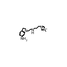 C[n+]1ccn(CCCNCCN2CCc3ccc(N)cc32)c1